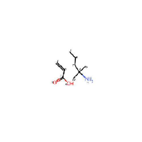 C=CC(=O)O.CCCC(C)(C)N